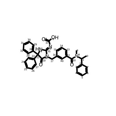 CC(c1ccccc1)N(C)C(=O)c1cccc(CN2C(=O)C(c3ccccc3)(c3ccccc3)NC2=NC(=O)O)c1